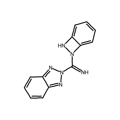 N=C(n1nc2ccccc2n1)n1[nH]c2ccccc21